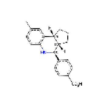 Cc1ccc2c(c1)[C@@H]1CCC[C@@H]1[C@@H](c1ccc(C(=O)O)cc1)N2